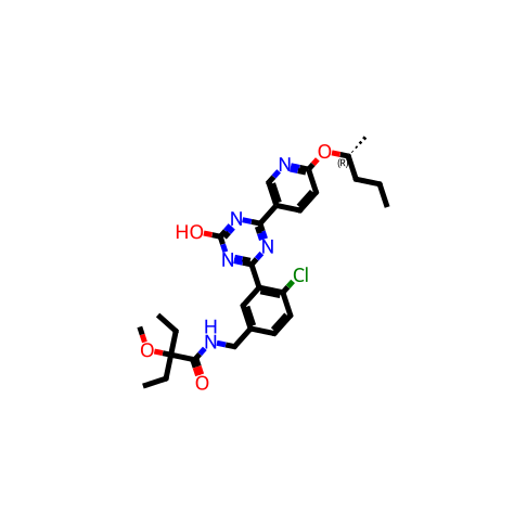 CCC[C@@H](C)Oc1ccc(-c2nc(O)nc(-c3cc(CNC(=O)C(CC)(CC)OC)ccc3Cl)n2)cn1